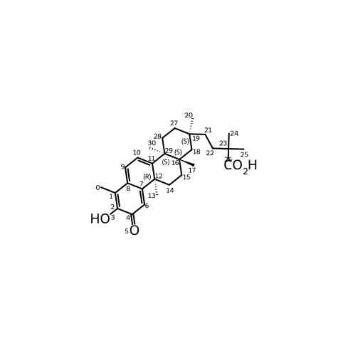 CC1=C(O)C(=O)C=C2C1=CC=C1[C@@]2(C)CC[C@@]2(C)C[C@](C)(CCC(C)(C)C(=O)O)CC[C@]12C